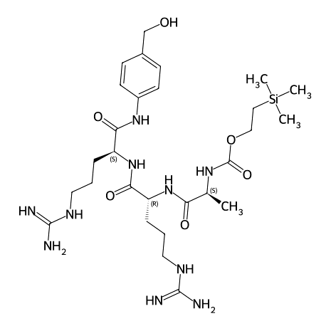 C[C@H](NC(=O)OCC[Si](C)(C)C)C(=O)N[C@H](CCCNC(=N)N)C(=O)N[C@@H](CCCNC(=N)N)C(=O)Nc1ccc(CO)cc1